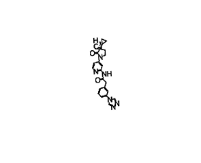 C[C@@]1(C2CC2)CCN(c2ccnc(NC(=O)Cc3cccc(-n4cnnc4)c3)c2)C1=O